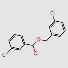 [O]C(OCc1cccc(Cl)c1)c1cccc(Cl)c1